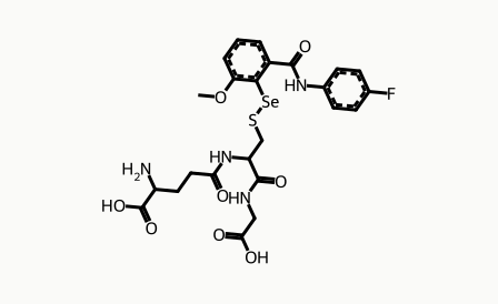 COc1cccc(C(=O)Nc2ccc(F)cc2)c1[Se]SCC(NC(=O)CCC(N)C(=O)O)C(=O)NCC(=O)O